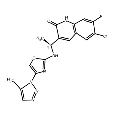 Cc1cnnn1-c1coc(N[C@@H](C)c2cc3cc(Cl)c(F)cc3[nH]c2=O)n1